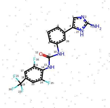 Nc1ncc(-c2cccc(NC(=O)Nc3c(F)cc(C(F)(F)F)cc3F)c2)[nH]1